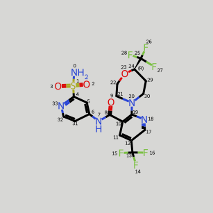 NS(=O)(=O)c1cc(NC(=O)c2cc(C(F)(F)F)cnc2N2CCO[C@@H](C(F)(F)F)CC2)ccn1